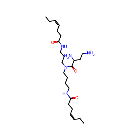 CC/C=C\CCC(=O)NCCCCN(CCCNC(=O)CC/C=C\CC)C(=O)[C@@H](N)CCN